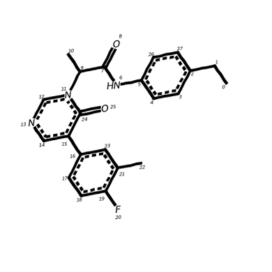 CCc1ccc(NC(=O)C(C)n2cncc(-c3ccc(F)c(C)c3)c2=O)cc1